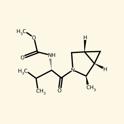 COC(=O)N[C@H](C(=O)N1C[C@@H]2C[C@@H]2[C@H]1C)C(C)C